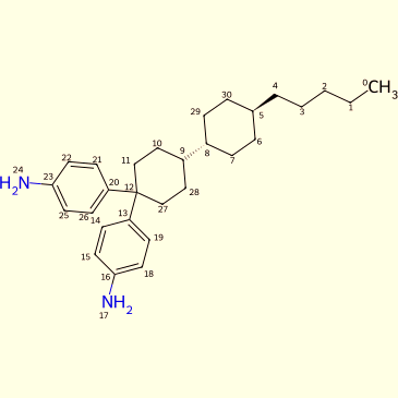 CCCCC[C@H]1CC[C@H](C2CCC(c3ccc(N)cc3)(c3ccc(N)cc3)CC2)CC1